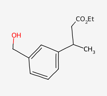 CCOC(=O)CC(C)c1cccc(CO)c1